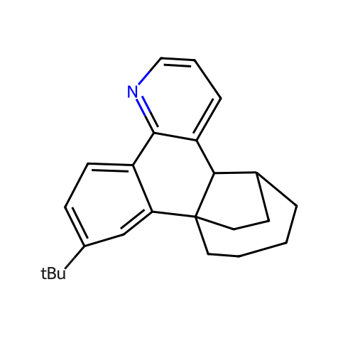 CC(C)(C)c1ccc2c(c1)C13CCCCC(CC1)C3c1cccnc1-2